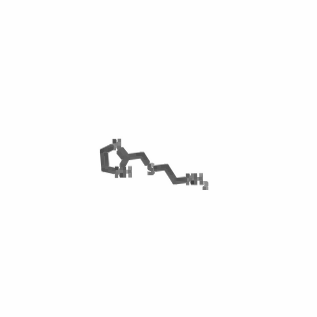 NCCSCc1ncc[nH]1